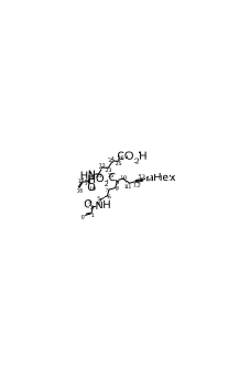 C=CC(=O)NCCCCC(CCC#CCCCCCC)C(=O)O.C=CC(=O)NCCCCCC(=O)O